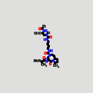 CCC(=O)N[C@H](C=O)CN(CC)C(=O)NCCCCNC(=O)N1CCC2CCC(C)N2C(=O)C(NC(=O)C(C)NC)C1